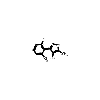 Cc1onc(-c2c(Cl)cccc2Cl)c1C(C)C